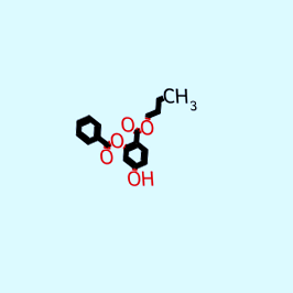 CCCCOC(=O)c1ccc(O)cc1OC(=O)c1ccccc1